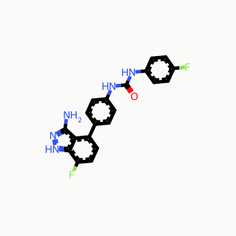 Nc1n[nH]c2c(F)ccc(-c3ccc(NC(=O)Nc4ccc(F)cc4)cc3)c12